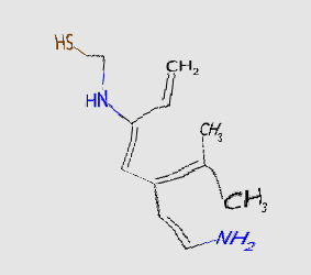 C=C/C(=C\C(/C=C\N)=C(C)C)NCS